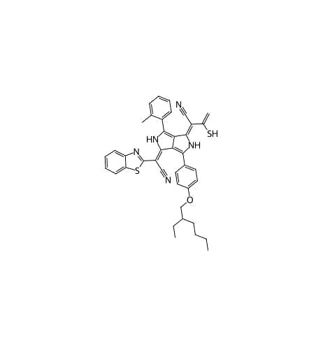 C=C(S)/C(C#N)=c1\[nH]c(-c2ccc(OCC(CC)CCCC)cc2)c2/c(=C(\C#N)c3nc4ccccc4s3)[nH]c(-c3ccccc3C)c12